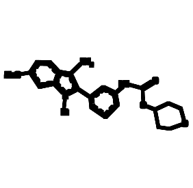 CCn1c(-c2cccc(NC(=O)OC3CCOCC3)c2)c(N)c2ccc(OC)cc21